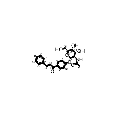 CC(=O)N[C@@H]1[C@H](Oc2ccc(C(=O)/C=C/c3ccccc3)cc2)O[C@H](CO)[C@H](O)[C@@H]1O